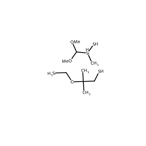 CC(C)(CS)OC[SiH3].COC(OC)[SiH](C)S